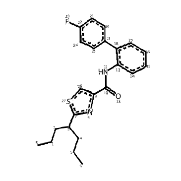 CCCC(CCC)c1nc(C(=O)Nc2ccccc2-c2ccc(F)cc2)cs1